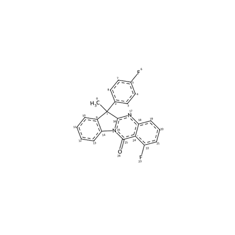 CC1(c2ccc(F)cc2)c2ccccc2-n2c1nc1cccc(F)c1c2=O